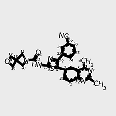 Cc1nc(C)c2cc(-c3sc(NC(=O)N4CC5(COC5)C4)nc3-c3cccc(C#N)c3)ccc2n1